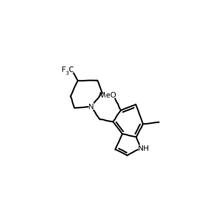 COc1cc(C)c2[nH]ccc2c1CN1CCC(C(F)(F)F)CC1